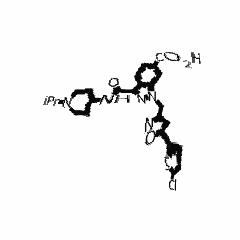 CC(C)N1CCC(NC(=O)c2nn(Cc3cc(-c4ccc(Cl)s4)on3)c3cc(C(=O)O)ccc23)CC1